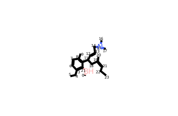 CBc1c(CC)ccc(C)c1C(C=CCN(C)C)C/C(C)=C\CC